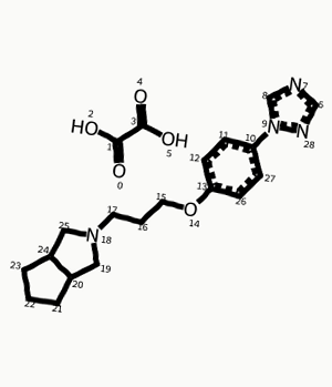 O=C(O)C(=O)O.c1ncn(-c2ccc(OCCCN3CC4CCCC4C3)cc2)n1